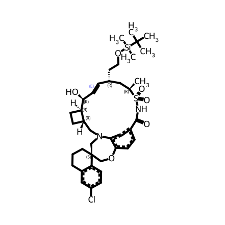 C[C@@H]1C[C@@H](CCO[Si](C)(C)C(C)(C)C)/C=C/[C@H](O)[C@@H]2CC[C@H]2CN2C[C@@]3(CCCc4cc(Cl)ccc43)COc3ccc(cc32)C(=O)NS1(=O)=O